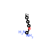 CCC1CCC(c2ccc(-c3ccc(OCCc4cc(N)cc(N)c4)cc3)cc2)CC1